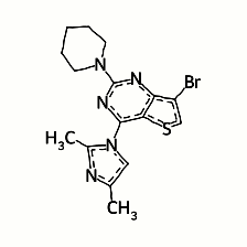 Cc1cn(-c2nc(N3CCCCC3)nc3c(Br)csc23)c(C)n1